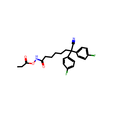 CCC(=O)ONC(=O)CCCCCC(C#N)(c1ccc(F)cc1)c1ccc(F)cc1